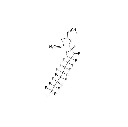 C=CC1CC(C=C)C(C(F)(F)C(F)C(F)(F)C(F)(F)C(F)(F)C(F)(F)C(F)(F)C(F)(F)C(F)(F)C(F)(F)F)C1